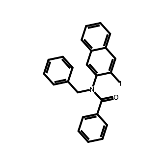 O=C(c1ccccc1)N(Cc1ccccc1)c1cc2ccccc2cc1I